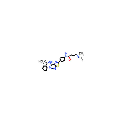 CN(C)C/C=C/C(=O)Nc1ccc(-c2nc3c(N[C@H](C(=O)O)c4ccccc4)ncnc3s2)cc1